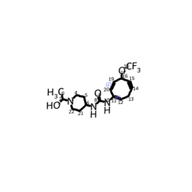 CC(O)N1CCC(NC(=O)NC2=C/CC#CC(OC(F)(F)F)/C=C\2)CC1